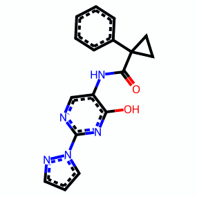 O=C(Nc1cnc(-n2cccn2)nc1O)C1(c2ccccc2)CC1